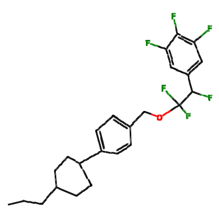 CCCC1CCC(c2ccc(COC(F)(F)C(F)c3cc(F)c(F)c(F)c3)cc2)CC1